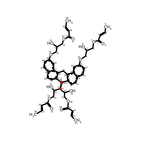 C/C=C/C(=O)OCC(O)COc1ccc2ccc(OCC(O)COC(=O)/C=C/C)c(Cc3c(OCC(O)COC(=O)/C=C/C)ccc4ccc(OCC(O)COC(=O)/C=C/C)cc34)c2c1